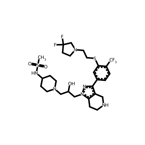 CS(=O)(=O)NC1CCN(CC(O)Cn2nc(-c3ccc(C(F)(F)F)c(SCCN4CCC(F)(F)C4)c3)c3c2CCNC3)CC1